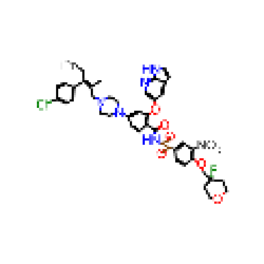 C/C(CN1CCN(c2ccc(C(=O)NS(=O)(=O)c3ccc(OCC4(F)CCOCC4)c([N+](=O)[O-])c3)c(Oc3cnc4[nH]ccc4c3)c2)CC1)=C(\CC(C)C)c1ccc(Cl)cc1